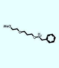 COCCOCCCO[SiH2]Cc1ccccc1